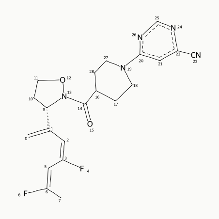 C=C(/C=C(F)\C=C(/C)F)[C@@H]1CCON1C(=O)C1CCN(c2cc(C#N)ncn2)CC1